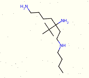 CCCCNCCC(N)(CCCCN)C(C)(C)C